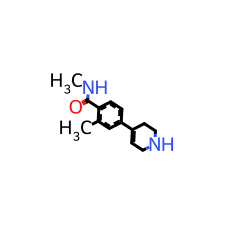 CNC(=O)c1ccc(C2=CCNCC2)cc1C